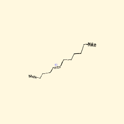 CNCCC/C=C/CCCCCNC